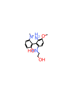 COc1ccc(NCCO)c(-c2c(O)cccc2N(C)C)c1N